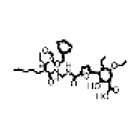 CCCCCC(C(=O)NCNC(=O)c1ccc(-c2c(O)c(C(=O)O)cc(OCC)c2CC)o1)[C@@H](CC)N(C=O)OCc1ccccc1